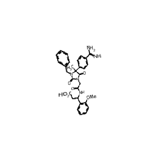 COc1ccccc1C(CC(=O)O)NC(=O)CN1C(=O)N(Cc2ccccc2)C(C)(c2ccc(C(=N)N)cc2)C1=O